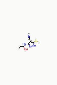 CCC(O)Nc1n[nH]c(SC)c1C#N